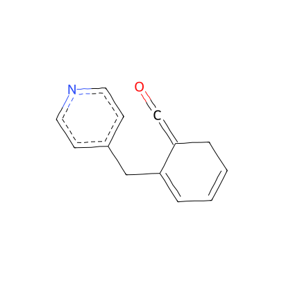 O=C=C1CC=CC=C1Cc1ccncc1